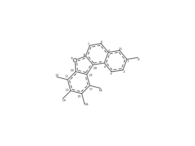 Cc1ccc2c(ccc3oc4c(C)c(C)c(C)c(C)c4c32)c1